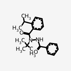 CC(C)c1ccccc1C(=O)N(NC(=O)c1ccccc1)C(C)(C)C